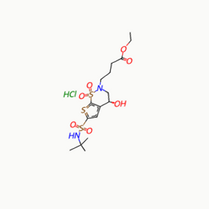 CCOC(=O)CCCN1C[C@@H](O)c2cc(S(=O)(=O)NC(C)(C)C)sc2S1(=O)=O.Cl